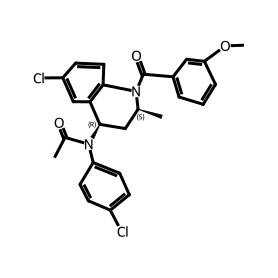 COc1cccc(C(=O)N2c3ccc(Cl)cc3[C@H](N(C(C)=O)c3ccc(Cl)cc3)C[C@@H]2C)c1